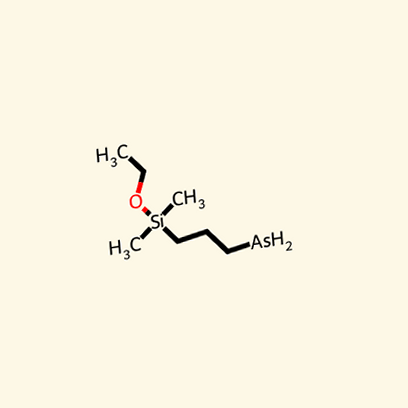 CCO[Si](C)(C)CCC[AsH2]